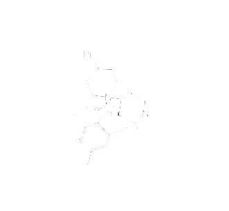 Cc1cc(C)c(S(=O)(=O)[N+]2(C3CCNCC3)CCC(C(C)C)CC2)c(C)c1